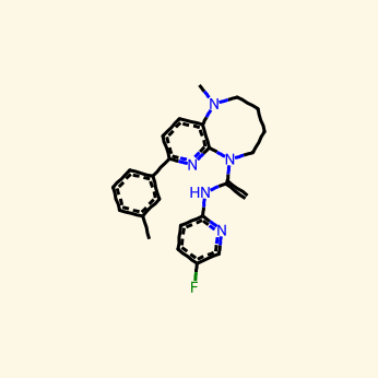 C=C(Nc1ccc(F)cn1)N1CCCCN(C)c2ccc(-c3cccc(C)c3)nc21